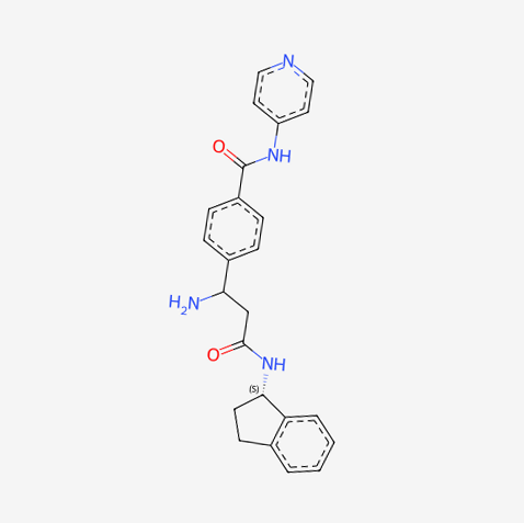 NC(CC(=O)N[C@H]1CCc2ccccc21)c1ccc(C(=O)Nc2ccncc2)cc1